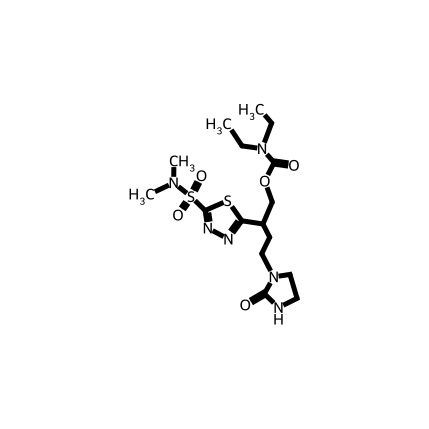 CCN(CC)C(=O)OCC(CCN1CCNC1=O)c1nnc(S(=O)(=O)N(C)C)s1